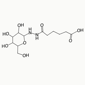 O=C(O)CCCCC(=O)NNC1OC(CO)C(O)C(O)C1O